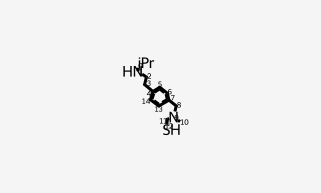 CC(C)NCCc1ccc(CN(C)CS)cc1